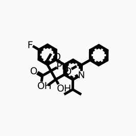 CCC(C(=O)O)([PH](=O)OC)C(C)(O)c1c(-c2ccc(F)cc2)cc(-c2ccccc2)nc1C(C)C